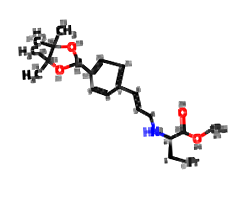 CC(C)C[C@@H](NCC=Cc1ccc(B2OC(C)(C)C(C)(C)O2)cc1)C(=O)OC(C)(C)C